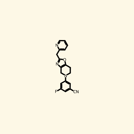 N#Cc1cc(F)cc(N2CCc3oc(Cc4ccccn4)nc3C2)c1